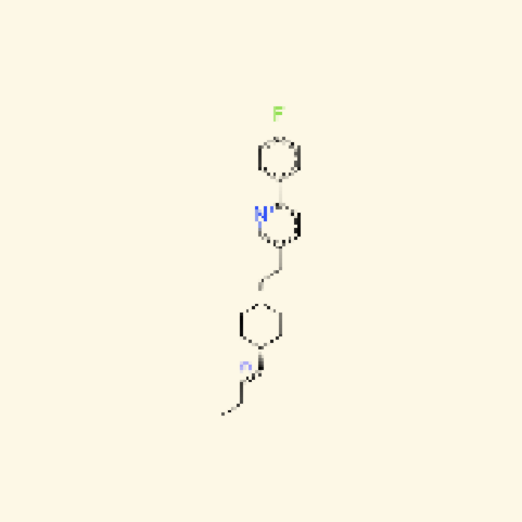 CC/C=C/[C@H]1CC[C@H](CCc2ccc(-c3ccc(F)cc3)nc2)CC1